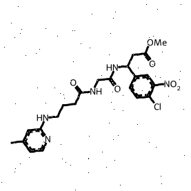 COC(=O)CC(NC(=O)CNC(=O)CCCNc1cc(C)ccn1)c1ccc(Cl)c([N+](=O)[O-])c1